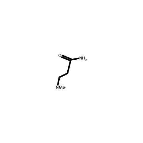 C[N]CCC(N)=O